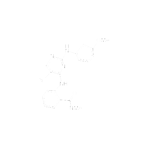 CNC(=O)c1ccccc1Nc1nc(Nc2cccc(OC)c2)ncc1Br